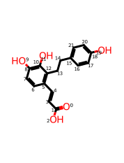 O=C(O)/C=C/c1ccc(O)c(O)c1CCc1ccc(O)cc1